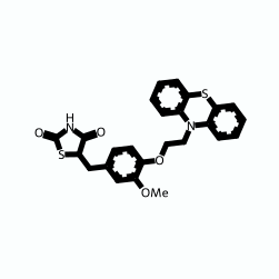 COc1cc(CC2SC(=O)NC2=O)ccc1OCCN1c2ccccc2Sc2ccccc21